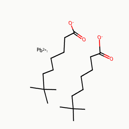 CC(C)(C)CCCCCC(=O)[O-].CC(C)(C)CCCCCC(=O)[O-].[Pb+2]